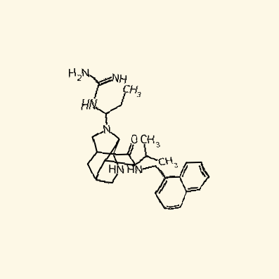 CCC(NC(=N)N)N1CC2CC3CNC2(C(=O)NCc2cccc4ccccc24)C1C3CC(C)C